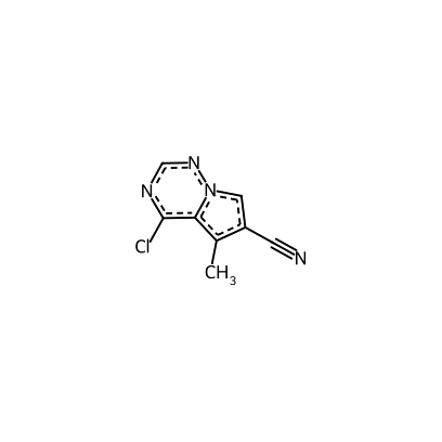 Cc1c(C#N)cn2ncnc(Cl)c12